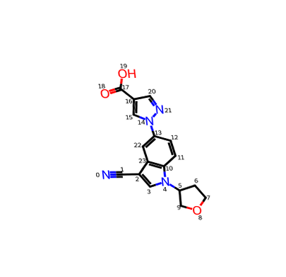 N#Cc1cn(C2CCOC2)c2ccc(-n3cc(C(=O)O)cn3)cc12